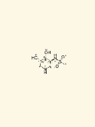 CS(=O)(=O)N[C@H]1CNC[C@H](O)[C@@H]1O